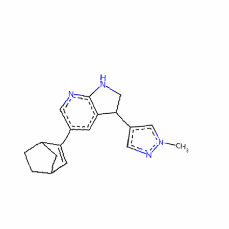 Cn1cc(C2CNc3ncc(C4=CC5CCC4C5)cc32)cn1